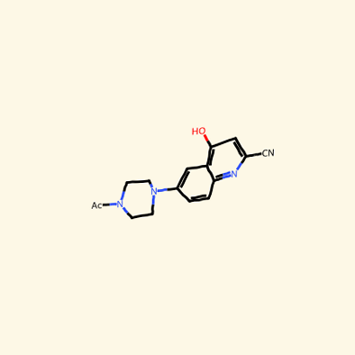 CC(=O)N1CCN(c2ccc3nc(C#N)cc(O)c3c2)CC1